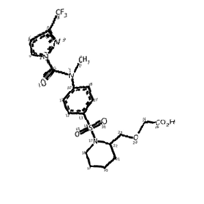 CN(C(=O)n1ccc(C(F)(F)F)n1)c1ccc(S(=O)(=O)N2CCCCC2COCC(=O)O)cc1